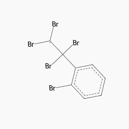 Br[C](Br)C(Br)(Br)c1ccccc1Br